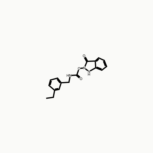 CCc1cccc(CNC(=O)On2[nH]c3ccccc3c2=O)c1